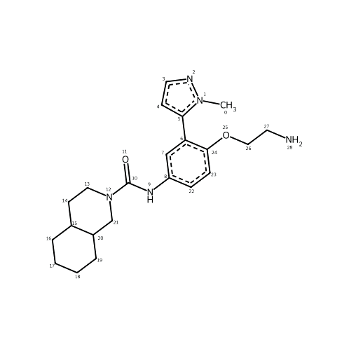 Cn1nccc1-c1cc(NC(=O)N2CCC3CCCCC3C2)ccc1OCCN